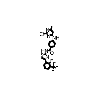 Cc1cc(Nc2ccc(C(=O)Nc3nc(-c4cccc(C(F)(F)F)c4F)cs3)cc2)nc(Cl)n1